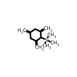 C=C1CC(=C)C([Si](C)(C)C)C(=C)C1